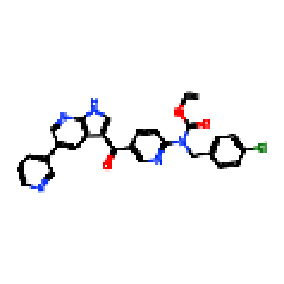 CC(C)(C)OC(=O)N(Cc1ccc(Cl)cc1)c1ccc(C(=O)c2c[nH]c3ncc(-c4cccnc4)cc23)cn1